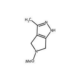 CON1Cc2[nH]nc(C)c2C1